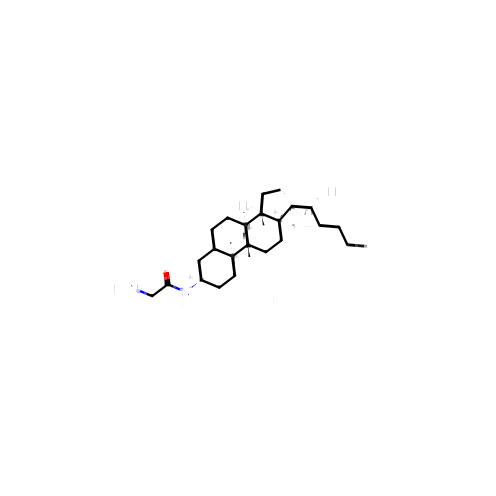 CC(C)CCC[C@@H](C)[C@H]1CC[C@H]2[C@@H]3CCC4C[C@H](NC(=O)CN)CC[C@]4(C)[C@H]3CC[C@]12C.Cl